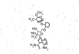 COC(=O)[C@H](C)/N=[P+](\[O-])Oc1ccccc1OCC1O[C@@H](n2cc(C(N)=S)c3c(N)ncnc32)[C@](C)(O)C1O